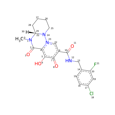 CN1C(=O)c2c(O)c(=O)c(C(=O)NCc3ccc(Cl)cc3F)cn2N2CCCC[C@@H]12